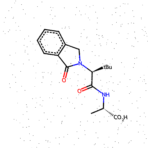 C[C@H](NC(=O)[C@@H](N1Cc2ccccc2C1=O)C(C)(C)C)C(=O)O